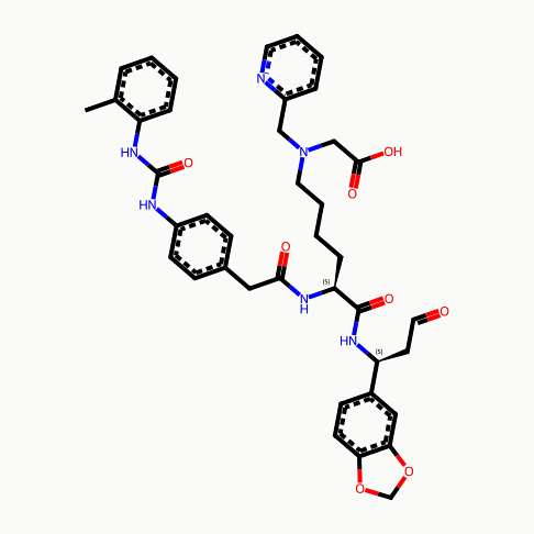 Cc1ccccc1NC(=O)Nc1ccc(CC(=O)N[C@@H](CCCCN(CC(=O)O)Cc2ccccn2)C(=O)N[C@@H](CC=O)c2ccc3c(c2)OCO3)cc1